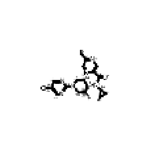 O=C(c1cnc(I)cn1)N(C1CC1)[C@@H]1CCN(c2ncc(Cl)cn2)C[C@@H]1F